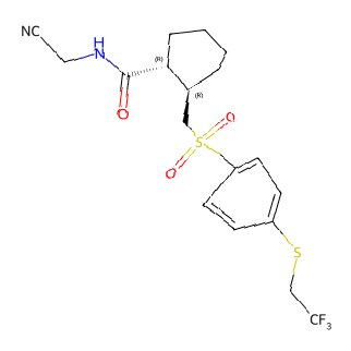 N#CCNC(=O)[C@@H]1CCCC[C@H]1CS(=O)(=O)c1ccc(SCC(F)(F)F)cc1